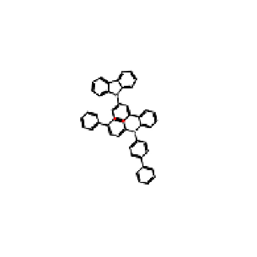 c1ccc(-c2ccc(N(c3ccc(-c4ccccc4)cc3)c3ccccc3-c3cccc(-n4c5ccccc5c5ccccc54)c3)cc2)cc1